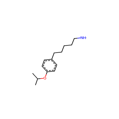 CC(C)Oc1ccc(CCCCC[NH])cc1